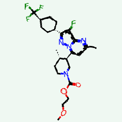 COCCOC(=O)N1CC[C@H](C)[C@@H](c2cc(C)nc3c(F)c([C@H]4CC[C@H](C(F)(F)F)CC4)nn23)C1